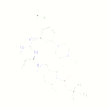 CC1Cc2cn(-c3nc(Nc4cc(N5CCN(C)CC5)ccc4OC(F)(F)F)ncc3F)cc2C(=O)N1C(=O)OC(C)(C)C